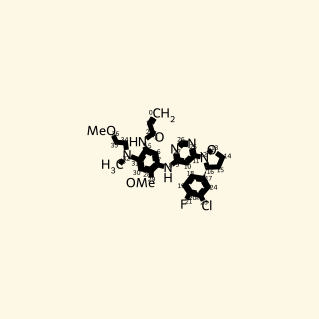 C=CC(=O)Nc1cc(Nc2cc(N3OCC[C@@H]3c3ccc(F)c(Cl)c3)ncn2)c(OC)cc1N(C)CCOC